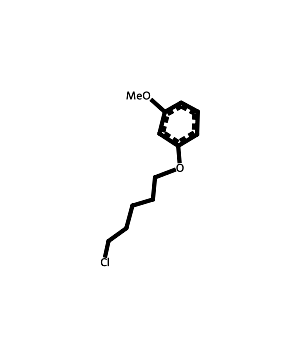 COc1cccc(OCCCCCCl)c1